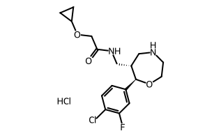 Cl.O=C(COC1CC1)NC[C@@H]1CNCCO[C@H]1c1ccc(Cl)c(F)c1